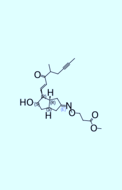 CC#CCC(C)C(=O)C=C[C@H]1[C@@H]2C/C(=N/OCCC(=O)OC)C[C@H]2C[C@@H]1O